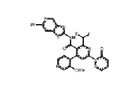 COc1cnccc1-c1cc(-n2ncccc2=O)nc(C(F)F)c1C(=O)Nc1nc2cnc(C(C)C)cc2s1